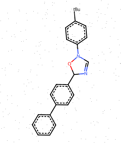 CC(C)(C)c1ccc(N2C=NC(c3ccc(-c4ccccc4)cc3)O2)cc1